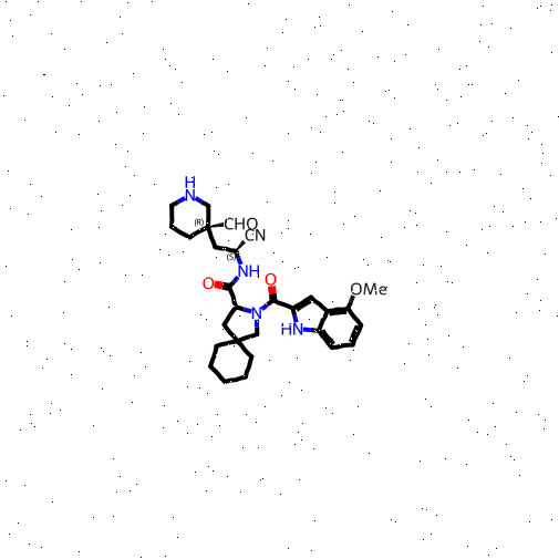 COc1cccc2[nH]c(C(=O)N3CC4(CCCCC4)CC3C(=O)N[C@H](C#N)C[C@]3(C=O)CCCNC3)cc12